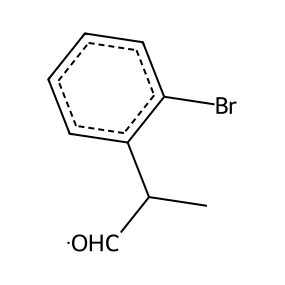 CC([C]=O)c1ccccc1Br